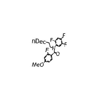 CCCCCCCCCCCCN(C(=O)c1ccc(OC)cc1F)c1cc(F)c(F)cc1F